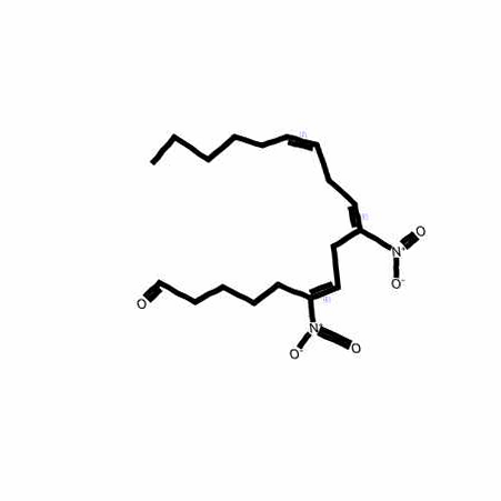 CCCCC/C=C\C/C=C(\C/C=C(\CCCC[C]=O)[N+](=O)[O-])[N+](=O)[O-]